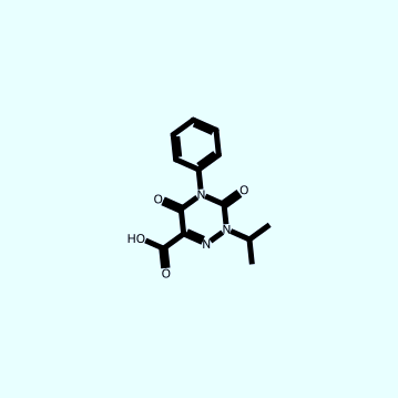 CC(C)n1nc(C(=O)O)c(=O)n(-c2ccccc2)c1=O